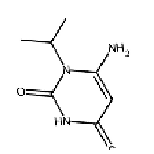 CC(C)n1c(N)cc(=O)[nH]c1=O